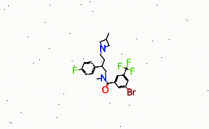 CC1CN(CCC(CN(C)C(=O)c2cc(Br)cc(C(F)(F)F)c2)c2ccc(F)cc2)C1